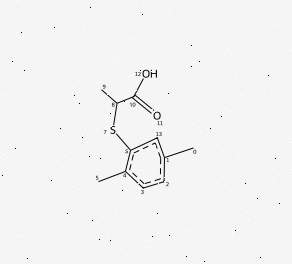 Cc1ccc(C)c(SC(C)C(=O)O)c1